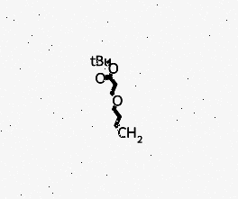 C=CCCOCCC(=O)OC(C)(C)C